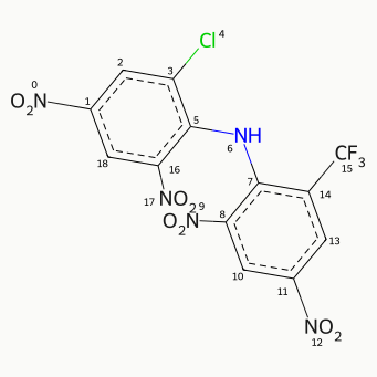 O=[N+]([O-])c1cc(Cl)c(Nc2c([N+](=O)[O-])cc([N+](=O)[O-])cc2C(F)(F)F)c([N+](=O)[O-])c1